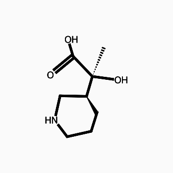 C[C@@](O)(C(=O)O)[C@H]1CCCNC1